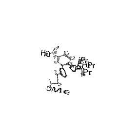 COCCCOc1cc(C(C)O)ccc1O[Si](C(C)C)(C(C)C)C(C)C